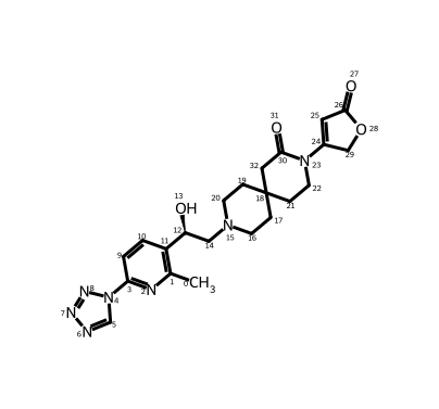 Cc1nc(-n2cnnn2)ccc1[C@@H](O)CN1CCC2(CC1)CCN(C1=CC(=O)OC1)C(=O)C2